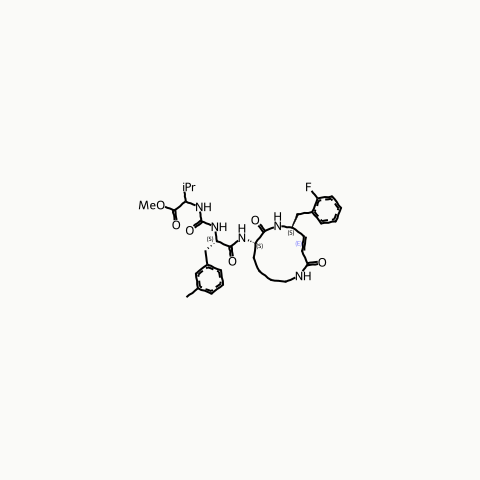 COC(=O)C(NC(=O)N[C@@H](Cc1cccc(C)c1)C(=O)N[C@H]1CCCCNC(=O)/C=C/[C@H](Cc2ccccc2F)NC1=O)C(C)C